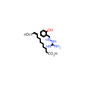 CCCCCCCC/C=C\CCCCCCCC(=O)O.N=C(N)NNCc1ccccc1O